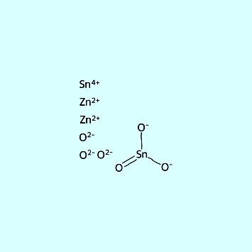 [O-2].[O-2].[O-2].[O]=[Sn]([O-])[O-].[Sn+4].[Zn+2].[Zn+2]